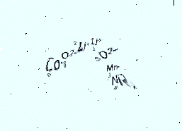 [Co].[Li+].[Li+].[Mn].[Ni+2].[O-2].[O-2]